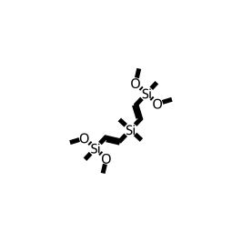 CO[Si](C)(C=C[Si](C)(C)C=C[Si](C)(OC)OC)OC